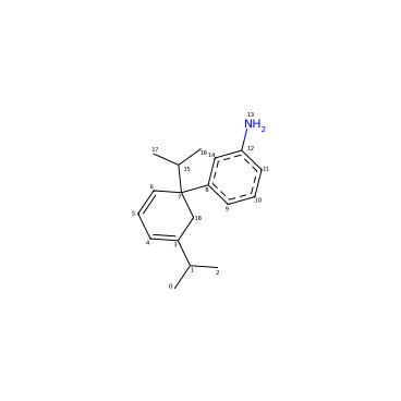 CC(C)C1=CC=CC(c2cccc(N)c2)(C(C)C)C1